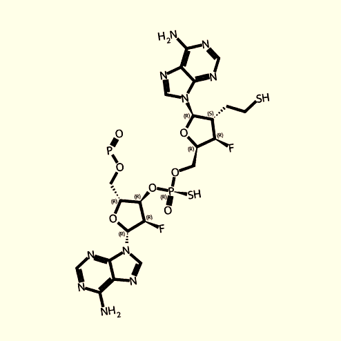 Nc1ncnc2c1ncn2[C@@H]1O[C@H](COP=O)[C@@H](O[P@](=O)(S)OC[C@H]2O[C@@H](n3cnc4c(N)ncnc43)[C@H](CCS)[C@H]2F)[C@H]1F